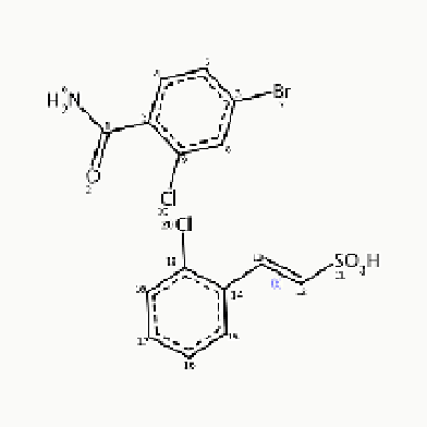 NC(=O)c1ccc(Br)cc1Cl.O=S(=O)(O)/C=C/c1ccccc1Cl